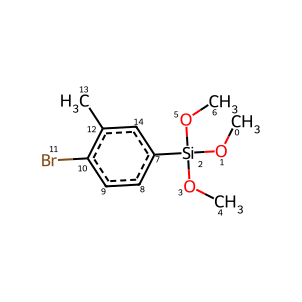 CO[Si](OC)(OC)c1ccc(Br)c(C)c1